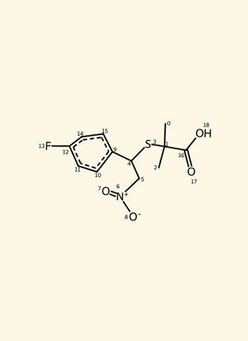 CC(C)(SC(C[N+](=O)[O-])c1ccc(F)cc1)C(=O)O